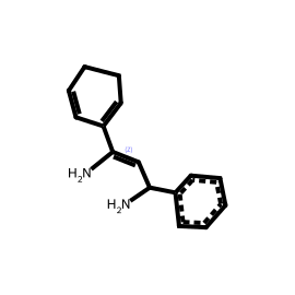 N/C(=C\C(N)c1ccccc1)C1=CCCC=C1